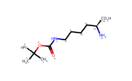 CCCC(C)(C)OC(=O)NCCCC[C@H](N)C(=O)O